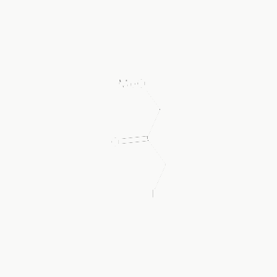 COCC(=O)CI